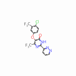 O=c1[nH]c(-c2cccnn2)nc(C(F)(F)F)c1Oc1ccc(Cl)c(C(F)(F)F)c1